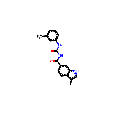 Cc1c[nH]c2cc(C(=O)NC(=O)Nc3cccc(C(F)(F)F)c3)ccc12